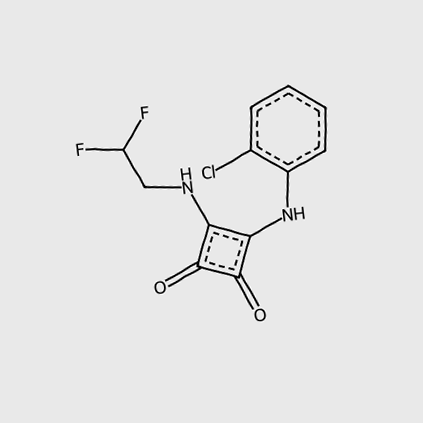 O=c1c(NCC(F)F)c(Nc2ccccc2Cl)c1=O